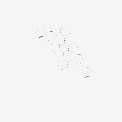 c1ccc(-c2cccc3c2oc2cccc(-c4c5ccccc5c(-c5cccc6oc7c8ccccc8ccc7c56)c5ccccc45)c23)cc1